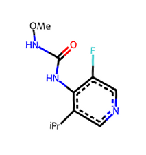 CONC(=O)Nc1c(F)cncc1C(C)C